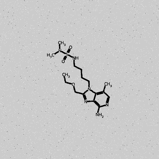 CCOCc1nc2c(N)ncc(C)c2n1CCCCNS(=O)(=O)N(C)C